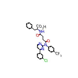 O=C(CCC(=O)N(c1ccc(C(F)(F)F)cc1)c1nccc(-c2cccc(Cl)c2)n1)NC(Cc1ccccc1)C(=O)O